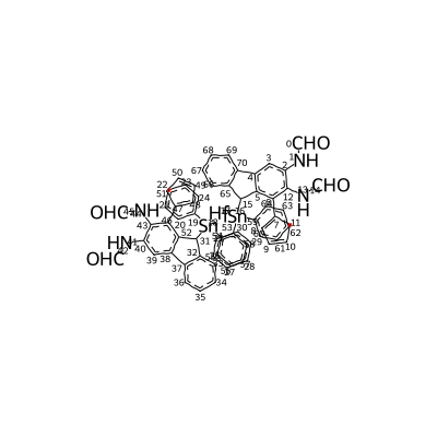 O=CNc1cc2c(c(C3=CC=CC3)c1NC=O)[CH]([Sn]([Hf][Sn]([c]1ccccc1)([c]1ccccc1)[CH]1c3ccccc3-c3cc(NC=O)c(NC=O)c(C4=CC=CC4)c31)([c]1ccccc1)[c]1ccccc1)c1ccccc1-2